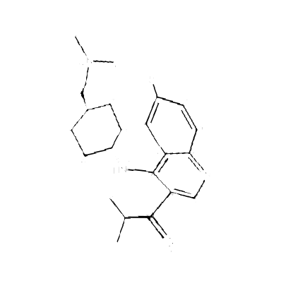 CC(C)C(=O)c1cnc2ccc(Br)cc2c1N[C@H]1CC[C@H](CN(C)C)CC1